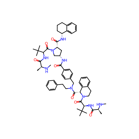 CN[C@@H](C)C(=O)NC(C(=O)N1C[C@@H](NC(=O)c2ccc(CN(CCc3ccccc3)C(=O)[C@@H]3c4ccccc4CCN3C(=O)[C@@H](NC(=O)[C@H](C)NC)C(C)(C)C)cc2)C[C@H]1C(=O)N[C@@H]1CCCc2ccccc21)C(C)(C)C